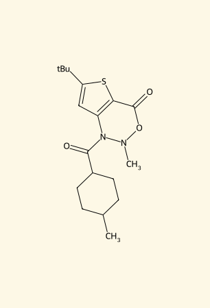 CC1CCC(C(=O)N2c3cc(C(C)(C)C)sc3C(=O)ON2C)CC1